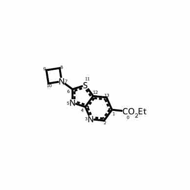 CCOC(=O)c1cnc2nc(N3CCC3)sc2c1